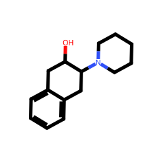 OC1Cc2ccccc2CC1N1CCCCC1